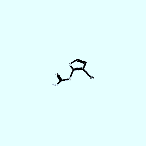 CC(C)c1ccsc1OC(=O)C(C)(C)C